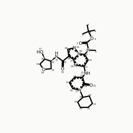 CN(C(=O)OC(C)(C)C)c1cc(Nc2cccn(C3CCCCC3)c2=O)nc2c(C(=O)N[C@H]3COC[C@H]3O)cnn12